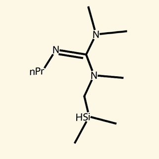 CCCN=C(N(C)C)N(C)C[SiH](C)C